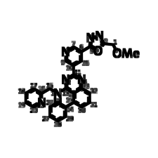 COCc1nnc(-c2cncc(-c3nc(NCc4ccccn4)c4c(-c5ccccc5)cccc4n3)c2)o1